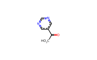 O=C(O)C(=O)c1cncnc1